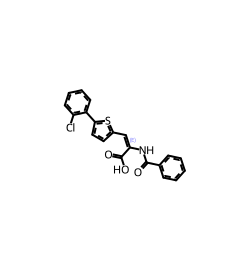 O=C(O)/C(=C\c1ccc(-c2ccccc2Cl)s1)NC(=O)c1ccccc1